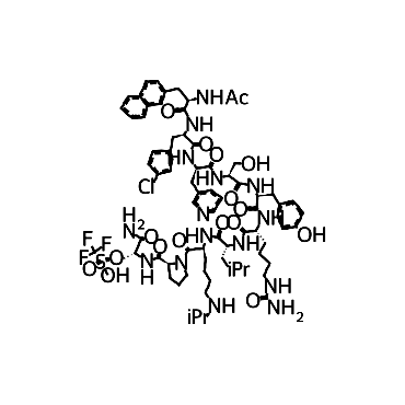 CC(=O)N[C@H](Cc1ccc2ccccc2c1)C(=O)N[C@H](Cc1ccc(Cl)cc1)C(=O)N[C@H](Cc1cccnc1)C(=O)N[C@@H](CO)C(=O)N[C@@H](Cc1ccc(O)cc1)C(=O)N[C@H](CCCCNC(N)=O)C(=O)N[C@H](CC(C)C)C(=O)N[C@@H](CCCCNC(C)C)C(=O)N1CCC[C@H]1C(=O)N[C@H](C)C(N)=O.O=S(=O)(O)C(F)(F)F